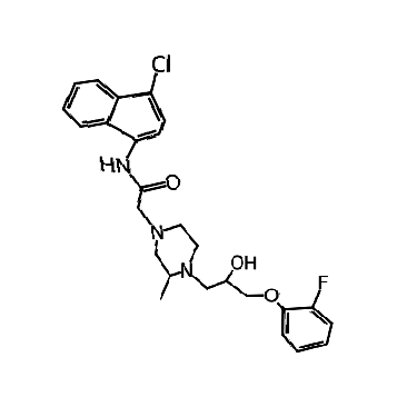 CC1CN(CC(=O)Nc2ccc(Cl)c3ccccc23)CCN1CC(O)COc1ccccc1F